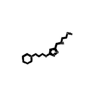 COCCNCc1cc(OCCCN2CCCCC2)no1